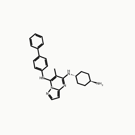 Cc1c(N[C@H]2CC[C@H](N)CC2)nc2ccnn2c1Nc1ccc(-c2ccccc2)cc1